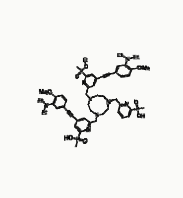 CCOP(C)(=O)c1cc(C#Cc2ccc(OC)c(N(CC)CC)c2)cc(CN2CCN(Cc3cccc(P(C)(=O)O)n3)CCN(Cc3cc(C#Cc4ccc(OC)c(N(CC)CC)c4)cc(P(C)(=O)O)n3)CC2)n1